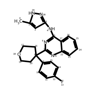 Cc1cc(Nc2nc(C3(c4ccc(F)cc4)CCOCC3)nc3ccccc23)n[nH]1